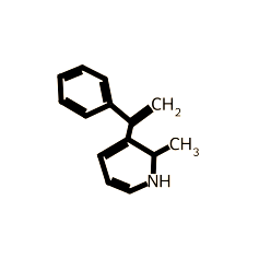 C=C(C1=CC=CNC1C)c1ccccc1